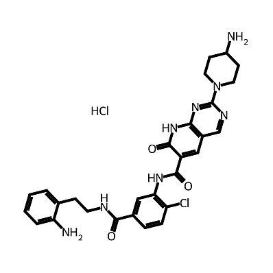 Cl.Nc1ccccc1CCNC(=O)c1ccc(Cl)c(NC(=O)c2cc3cnc(N4CCC(N)CC4)nc3[nH]c2=O)c1